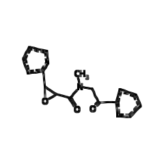 CN(CC(=O)c1ccccc1)C(=O)C1OC1c1ccccc1